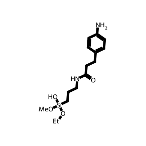 CCO[Si](O)(CCCNC(=O)CCc1ccc(N)cc1)OC